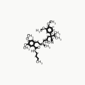 CCCCNC(=O)c1cc(OC)c(OC)cc1CCN(C)CC(O)CC(C#N)(c1ccc(OC)c(OC)c1)C(C)C